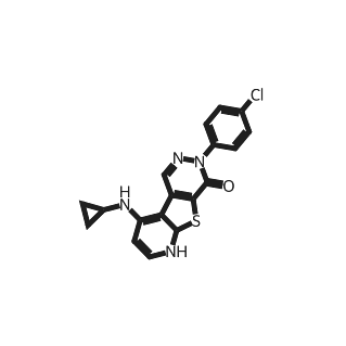 O=c1c2c(cnn1-c1ccc(Cl)cc1)C1=C(NC3CC3)C=CNC1S2